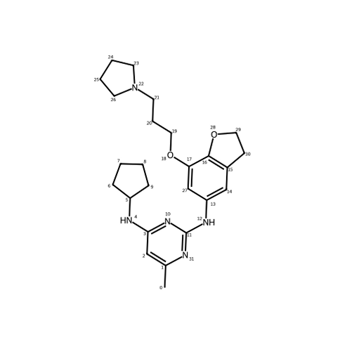 Cc1cc(NC2CCCC2)nc(Nc2cc3c(c(OCCCN4CCCC4)c2)OCC3)n1